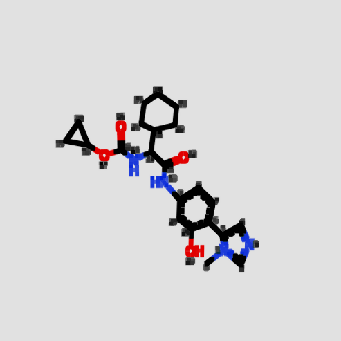 Cn1cncc1-c1ccc(NC(=O)[C@@H](NC(=O)OC2CC2)C2CCCCC2)cc1O